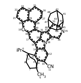 CC(C)C12CCCC(C)(CC1)c1c(C#N)cc3c(c12)c1cc2oc4cccc5cccc(c54)c2c2c4c5c(ncc4n3c12)C1CC2CC(C1)CC5C2